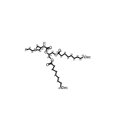 CCCCCCCCCCCCCCCCCC(=O)OCC(COC(=O)CCCCCCCCCCCCCCCCC)OC(=O)NC1CN(CCF)C1